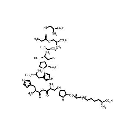 CC(C)C[C@H](N)C(=O)O.NCC(=O)O.NCC(=O)O.NCC(=O)OC[C@H](N)C(=O)O.NCCCC[C@H](N)C(=O)O.N[C@@H](CS)C(=O)O.N[C@@H](CS)C(=O)OC(=O)[C@@H](N)Cc1c[nH]cn1.N[C@@H](Cc1c[nH]cn1)C(=O)O.O=C(O)[C@@H]1CCCN1.O=C(O)[C@@H]1CCCN1